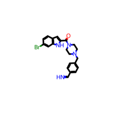 N=Cc1ccc(CN2CCN(C(=O)c3cc4ccc(Br)cc4[nH]3)CC2)cc1